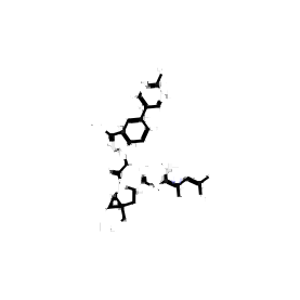 CC(=O)c1nn(CC(=O)N2C3CC3(CO)C[C@H]2C(=O)N/C(N)=C(\C)C=C(C)C)c2ccc(-c3cnc(C)nc3)cc12